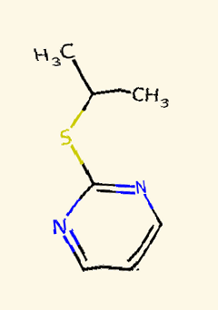 CC(C)Sc1nc[c]cn1